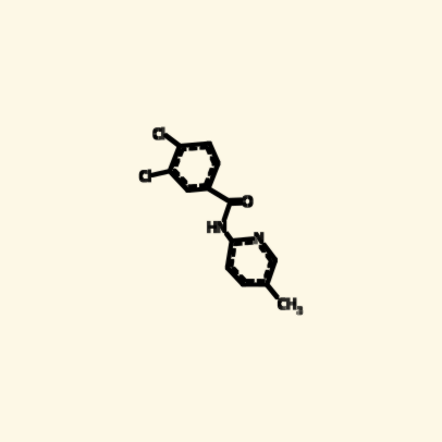 Cc1ccc(NC(=O)c2ccc(Cl)c(Cl)c2)nc1